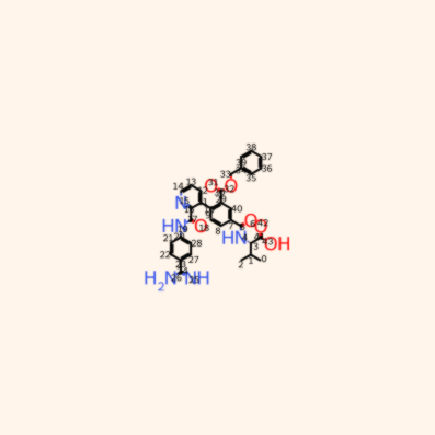 CC(C)[C@H](NC(=O)c1ccc(-c2cccnc2C(=O)Nc2ccc(C(=N)N)cc2)c(C(=O)OCc2ccccc2)c1)C(=O)O